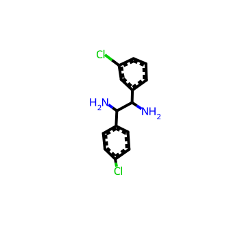 NC(c1ccc(Cl)cc1)C(N)c1cccc(Cl)c1